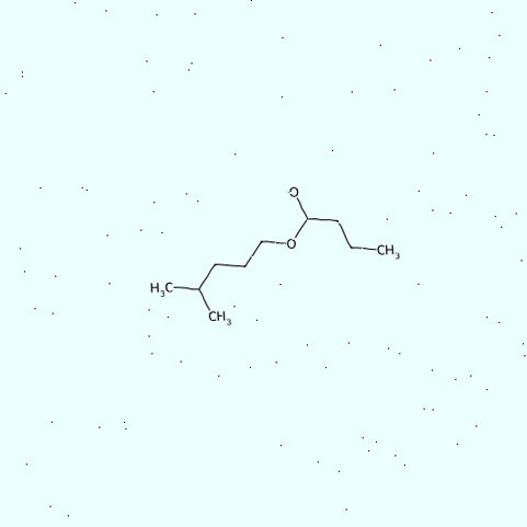 CCCC([O])OCCCC(C)C